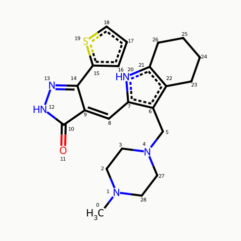 CN1CCN(Cc2c(/C=C3/C(=O)NN=C3c3cccs3)[nH]c3c2CCCC3)CC1